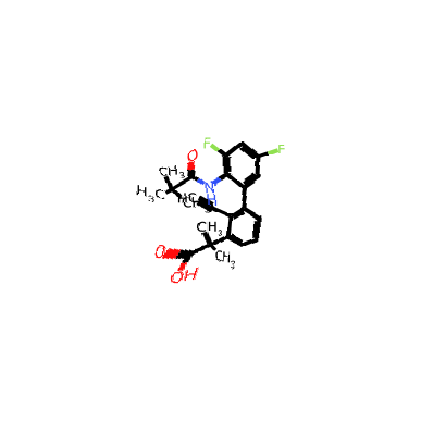 C#Cc1c(-c2cc(F)cc(F)c2NC(=O)C(C)(C)C)cccc1C(C)(C)C(=O)O